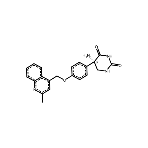 Cc1cc(COc2ccc([C@]3(N)CNC(=O)NC3=O)cc2)c2ccccc2n1